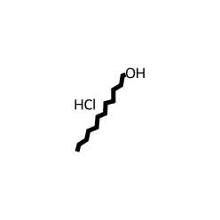 CCCCCCCCCCCCO.Cl